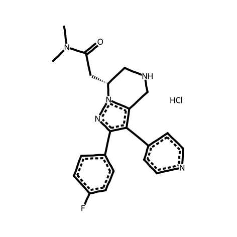 CN(C)C(=O)C[C@@H]1CNCc2c(-c3ccncc3)c(-c3ccc(F)cc3)nn21.Cl